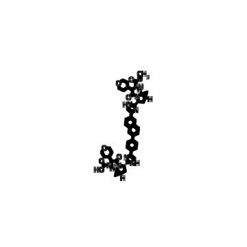 COC(=O)NC(C(=O)N1[C@@H]2C[C@@H]2C[C@H]1c1nc(-c2ccc3cc(-c4ccc(-c5c[nH]c([C@@H]6C[C@H]7C[C@H]7N6C(=O)C(NC(=O)O)C6CCOCC6)n5)cc4)ccc3c2)c[nH]1)C1CCOCC1